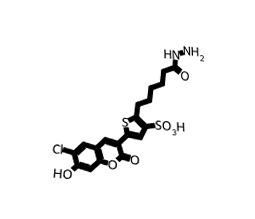 NNC(=O)CCCCCc1sc(-c2cc3cc(Cl)c(O)cc3oc2=O)cc1S(=O)(=O)O